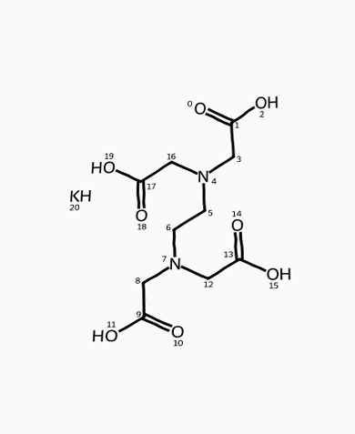 O=C(O)CN(CCN(CC(=O)O)CC(=O)O)CC(=O)O.[KH]